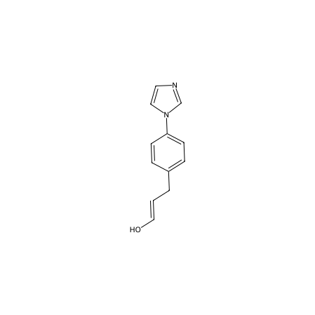 OC=CCc1ccc(-n2ccnc2)cc1